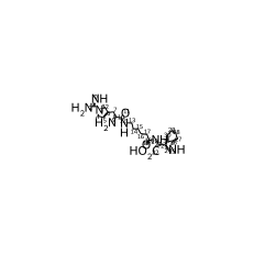 N=C(N)N1CC=C(CC(N)C(=O)NCCCCCC(=O)NC(C(=O)O)c2c[nH]c3ccccc23)C1